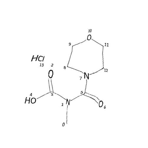 CN(C(=O)O)C(=O)N1CCOCC1.Cl